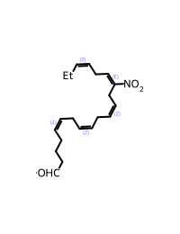 CC/C=C\C/C=C(\C/C=C\C/C=C\C/C=C\CCC[C]=O)[N+](=O)[O-]